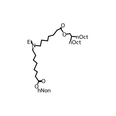 CCCCCCCCCOC(=O)CCCCCCCN(CC)CCCCCCC(=O)OCC(CCCCCCCC)CCCCCCCC